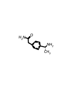 C[C@@H](N)c1ccc(CC(N)=O)cc1